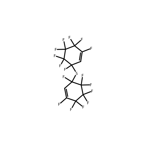 FC1=CC(F)(SC2(F)C=C(F)C(F)(F)C(F)(F)C2(F)F)C(F)(F)C(F)(F)C1(F)F